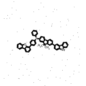 CC1(C)c2cc(-c3ccc4[nH]c5ccccc5c4c3)ccc2-c2ccc(N(c3ccccc3)c3ccc(-c4cccc5c4oc4ccccc45)cc3)cc21